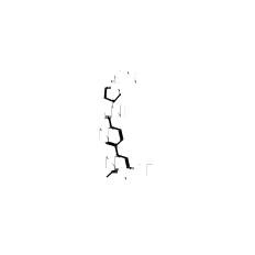 Cc1nc(-c2ccc(C(=O)N[C@@H]3CCN(C#N)C3)nc2)cc(C(F)(F)F)n1